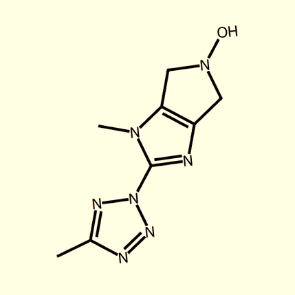 Cc1nnn(-c2nc3c(n2C)CN(O)C3)n1